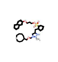 CN1NC(Cc2ccccc2S(=O)(=O)OCCCOc2ccc3ccccc3c2)CN1COCC1CCCCCCCC1